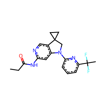 CCC(=O)Nc1cc2c(cn1)C1(CC1)CN2c1cccc(C(C)(F)F)n1